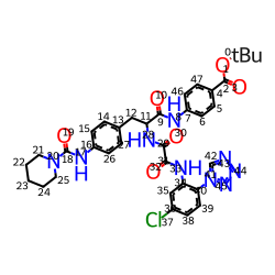 CC(C)(C)OC(=O)c1ccc(NC(=O)C(Cc2ccc(NC(=O)N3CCCCC3)cc2)NC(=O)C(=O)Nc2cc(Cl)ccc2-n2cnnn2)cc1